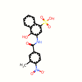 Cc1cc(C(=O)Nc2cc(S(=O)(=O)O)c3ccccc3c2O)ccc1[N+](=O)[O-]